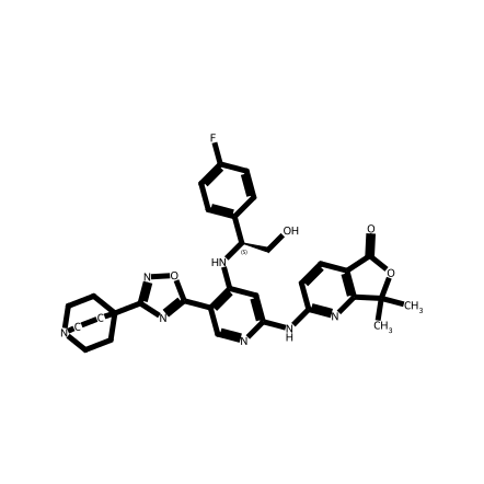 CC1(C)OC(=O)c2ccc(Nc3cc(N[C@H](CO)c4ccc(F)cc4)c(-c4nc(C56CCN(CC5)CC6)no4)cn3)nc21